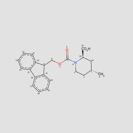 C[C@@H]1CCN(C(=O)OCC2c3ccccc3-c3ccccc32)[C@@H](C(=O)O)C1